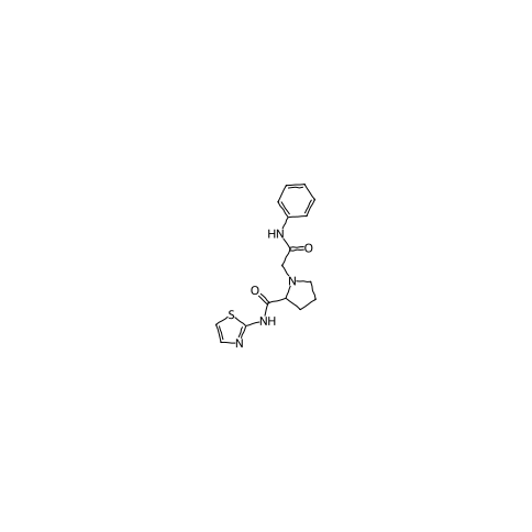 O=C(CN1CCCC1C(=O)Nc1nccs1)Nc1ccccc1